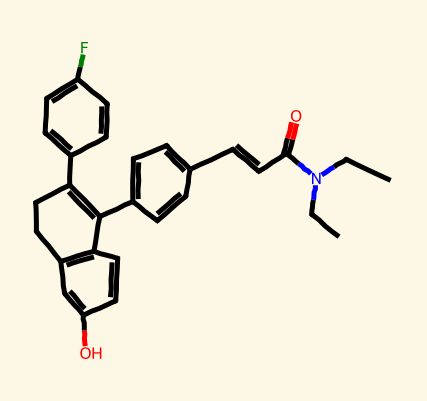 CCN(CC)C(=O)C=Cc1ccc(C2=C(c3ccc(F)cc3)CCc3cc(O)ccc32)cc1